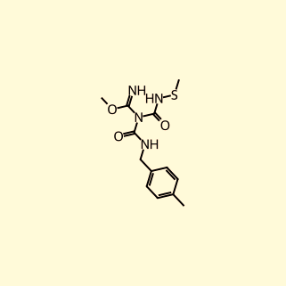 COC(=N)N(C(=O)NCc1ccc(C)cc1)C(=O)NSC